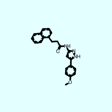 COc1ccc(-c2cc(NC(=O)CCc3cccc4ccccc34)n[nH]2)cc1